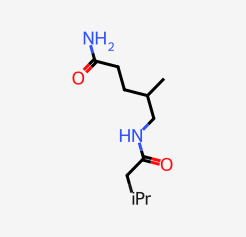 CC(C)CC(=O)NCC(C)CCC(N)=O